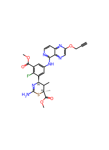 C#CCOc1cnc2c(Nc3cc(C(=O)OC)c(F)c([C@@H]4N=C(N)S[C@](C)(C(=O)OC)C4C)c3)nccc2n1